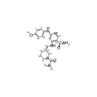 COc1ccc(Nc2cc(NC[C@@H]3CCCN(C(=O)N(C)C)C3)c(C(N)=O)cn2)cc1